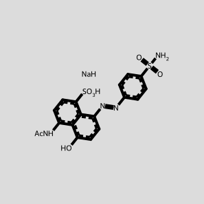 CC(=O)Nc1ccc(S(=O)(=O)O)c2c(N=Nc3ccc(S(N)(=O)=O)cc3)ccc(O)c12.[NaH]